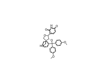 COc1ccc(C(O[C@@H]2[C@@H](CO)CO[C@H]2n2ccc(=O)[nH]c2=O)(c2ccccc2)c2ccc(OC)cc2)cc1